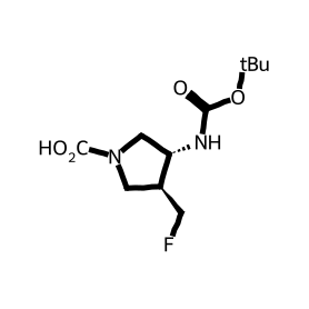 CC(C)(C)OC(=O)N[C@H]1CN(C(=O)O)C[C@@H]1CF